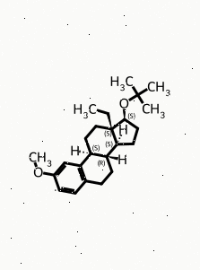 CC[C@]12CC[C@@H]3c4cc(OC)[c]cc4CC[C@H]3[C@@H]1CC[C@@H]2OC(C)(C)C